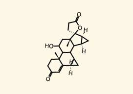 C[C@]12CCC(=O)C=C1[C@@H]1C[C@@H]1C1C2C(O)C[C@@]2(C)C1[C@@H]1C[C@@H]1[C@@]21CCC(=O)O1